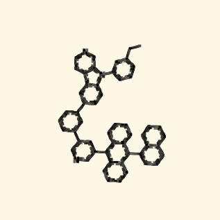 CCc1cccc(-n2c3ccc(-c4cccc(-c5cncc(-c6c7ccccc7c(-c7cccc8ccccc78)c7ccccc67)c5)c4)cc3c3ccncc32)c1